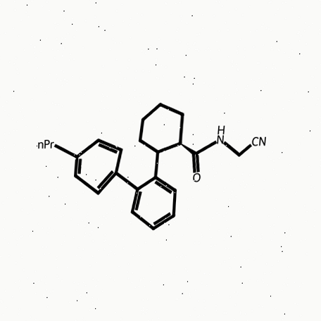 CCCc1ccc(-c2ccccc2C2CCCC[C@H]2C(=O)NCC#N)cc1